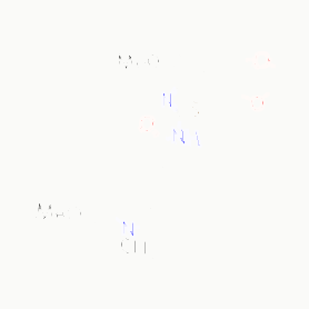 COCCN(C)Cc1ccc(C(=O)Nc2nc3c(OC)ccc(C4COCCOC4)c3s2)cc1